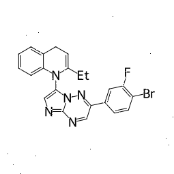 CCC1=CCc2ccccc2N1c1cnc2ncc(-c3ccc(Br)c(F)c3)nn12